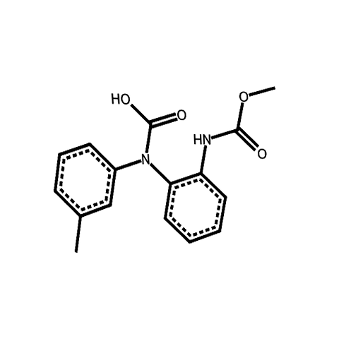 COC(=O)Nc1ccccc1N(C(=O)O)c1cccc(C)c1